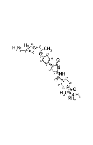 CC(CN1CC2C(CN)[C@@H]2C1)Oc1ccc(-n2ccc(NC(=O)N3CCN(C(=O)C(C)(C)N)CC3)nc2=O)cc1